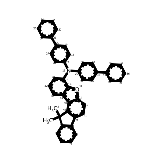 CC1(C)c2ccccc2-c2ccc3oc4c(N(c5ccc(-c6ccccc6)cc5)c5ccc(-c6ccccc6)cc5)cccc4c3c21